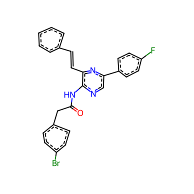 O=C(Cc1ccc(Br)cc1)Nc1ncc(-c2ccc(F)cc2)nc1/C=C/c1ccccc1